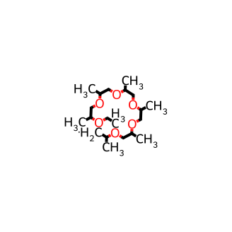 [CH2]C(C)OCC(C)OCC(C)OCC(C)OCC(C)OCC(C)OCC